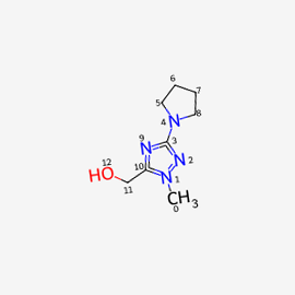 Cn1nc(N2CCCC2)nc1CO